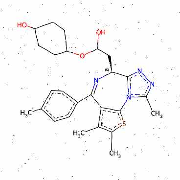 Cc1ccc(C2=N[C@@H](CC(O)OC3CCC(O)CC3)c3nnc(C)n3-c3sc(C)c(C)c32)cc1